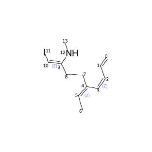 C=C/C=C\C(=C/C)CC/C(=C/I)NC